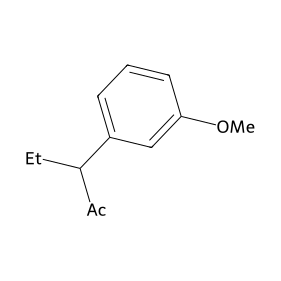 CCC(C(C)=O)c1cccc(OC)c1